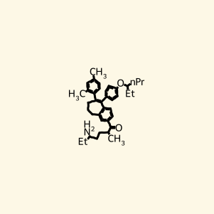 CCCC(CC)Oc1ccc(C2=C(c3ccc(C)cc3C)CCCc3cc(C(=O)C(C)CCC(N)CC)ccc32)cc1